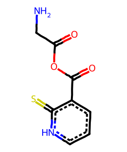 NCC(=O)OC(=O)c1ccc[nH]c1=S